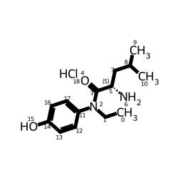 CCN(C(=O)[C@@H](N)CC(C)C)c1ccc(O)cc1.Cl